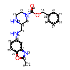 CCc1nc2cc(NC[C@@H]3CN(C(=O)OCc4ccccc4)CCN3)ccc2o1